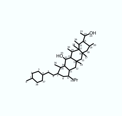 CC1CCC(CCC2CC(C(C)C)C3CC4(C)CC5(C)CC(C)C(C(C)O)C(C)C5(C)C(C)C4C(O)C3C2C)CC1